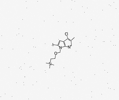 Cc1cnc2c(cc(I)n2COCC[Si](C)(C)C)c1Cl